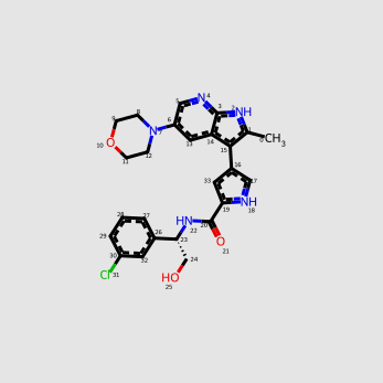 Cc1[nH]c2ncc(N3CCOCC3)cc2c1-c1c[nH]c(C(=O)N[C@H](CO)c2cccc(Cl)c2)c1